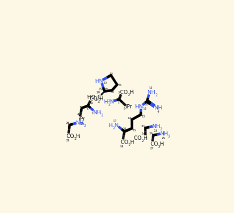 CC(C)C(N)C(=O)O.CC(C)CC(N)C(=O)O.N=C(N)NCCCC(N)C(=O)O.NCC(=O)O.NCC(=O)O.NCC(=O)O.O=C(O)[C@@H]1CCCN1